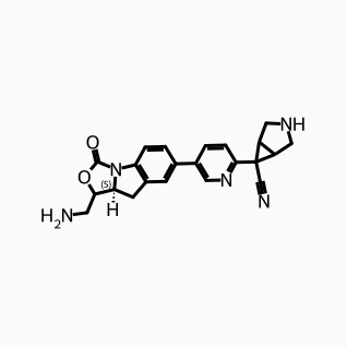 N#CC1(c2ccc(-c3ccc4c(c3)C[C@H]3C(CN)OC(=O)N43)cn2)C2CNCC21